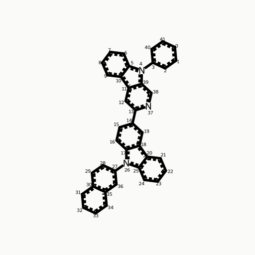 c1ccc(-n2c3ccccc3c3cc(-c4ccc5c(c4)c4ccccc4n5-c4ccc5ccccc5c4)ncc32)cc1